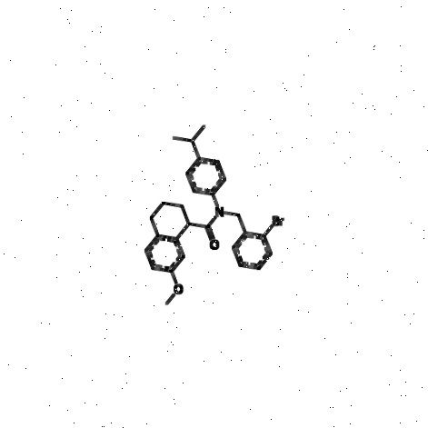 COc1ccc2c(c1)C(C(=O)N(Cc1ccccc1Br)c1ccc(C(C)C)cc1)CCC2